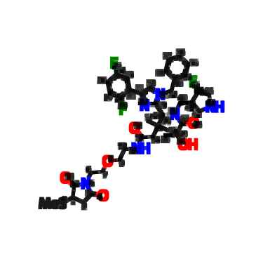 CSC1CC(=O)N(CCOCCNC(=O)CC(C)(C)[C@H](c2nc(-c3cc(F)ccc3F)cn2Cc2ccccc2)N(C[C@@H]2CNC[C@@H]2F)C(=O)[C@H](C)O)C1=O